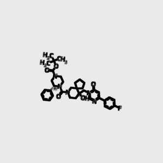 CC(C)(C)OC(=O)N1CCN(C(=O)N2CC[C@@](O)(Cn3cnc(-c4ccc(F)cc4)cc3=O)C3(CCCC3)C2)[C@H](c2ccccc2)C1